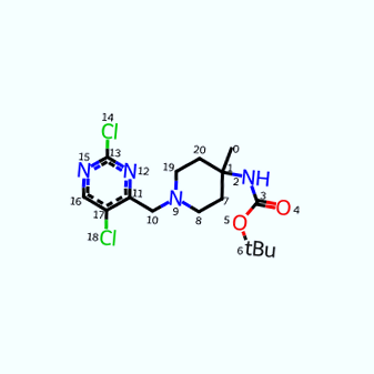 CC1(NC(=O)OC(C)(C)C)CCN(Cc2nc(Cl)ncc2Cl)CC1